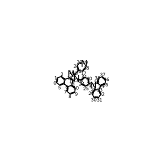 c1ccc2c(c1)c1ccccc1c1c2nc(-c2ccncc2)n1-c1ccc(-n2c3ccccc3c3ccccc32)cc1